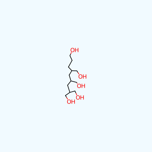 OCCCC(CO)CC(CO)CC(CO)CO